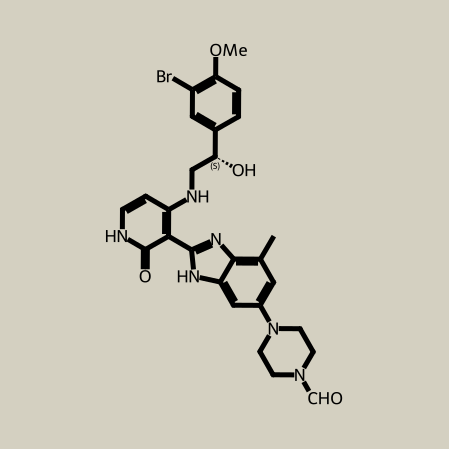 COc1ccc([C@H](O)CNc2cc[nH]c(=O)c2-c2nc3c(C)cc(N4CCN(C=O)CC4)cc3[nH]2)cc1Br